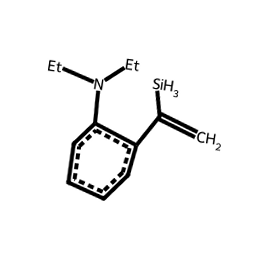 C=C([SiH3])c1ccccc1N(CC)CC